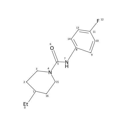 CCC1CCN(C(=O)Nc2ccc(F)cc2)CC1